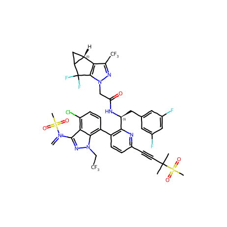 C=[N+](c1nn(CC(F)(F)F)c2c(-c3ccc(C#CC(C)(C)S(C)(=O)=O)nc3[C@H](Cc3cc(F)cc(F)c3)NC(=O)Cn3nc(C(F)(F)F)c4c3C(F)(F)C3C[C@H]43)ccc(Cl)c12)S(C)(=O)=O